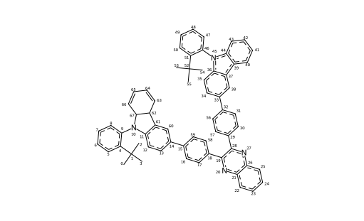 CC(C)(C)c1ccccc1N1c2ccc(-c3ccc(-c4nc5ccccc5nc4-c4ccc(-c5ccc6c(c5)c5ccccc5n6-c5ccccc5C(C)(C)C)cc4)cc3)cc2C2C=CC=CC21